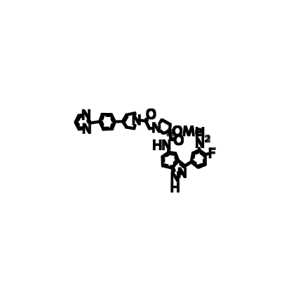 CO[C@@]1(C(=O)Nc2ccc3[nH]nc(-c4ccc(F)c(N)c4)c3c2)CCN(CC(=O)N2CC=C(c3ccc(-c4ncccn4)cc3)CC2)C1